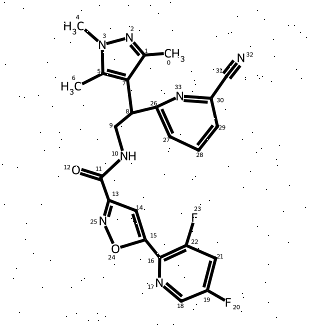 Cc1nn(C)c(C)c1C(CNC(=O)c1cc(-c2ncc(F)cc2F)on1)c1cccc(C#N)n1